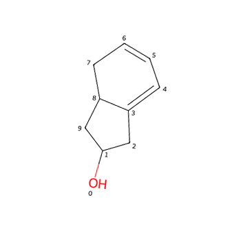 OC1CC2=CC=CCC2C1